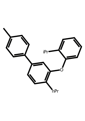 CCCc1ccc(-c2ccc(C)cc2)cc1Oc1ccccc1C(C)C